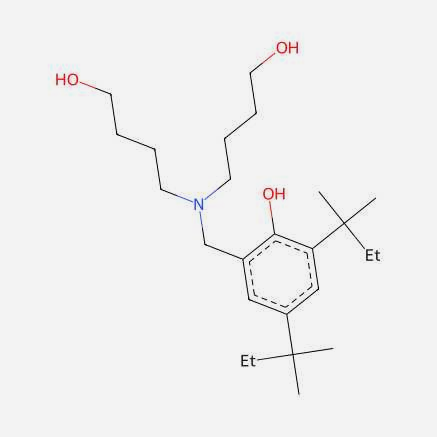 CCC(C)(C)c1cc(CN(CCCCO)CCCCO)c(O)c(C(C)(C)CC)c1